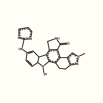 CC(C)N1c2c3c(c4c(c2C2C=C(Nc5ncccn5)C=CC21)CNC4=O)-c1cn(C)nc1CC3